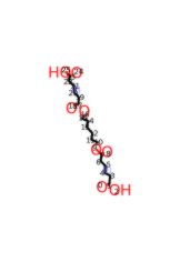 O=C(O)C/C=C/CC(=O)OCCCCCCOC(=O)C/C=C/CC(=O)O